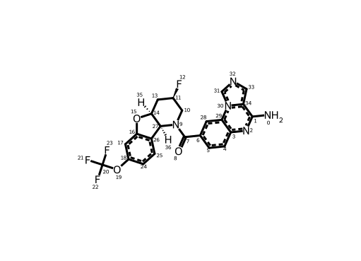 Nc1nc2ccc(C(=O)N3C[C@H](F)C[C@@H]4Oc5cc(OC(F)(F)F)ccc5[C@@H]43)cc2n2cncc12